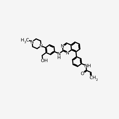 C=CC(=O)Nc1cccc(-c2cccc3cnc(Nc4ccc(N5CCN(C)CC5)c(CO)c4)nc23)c1